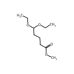 CCOC(CCCC(=O)OC)OCC